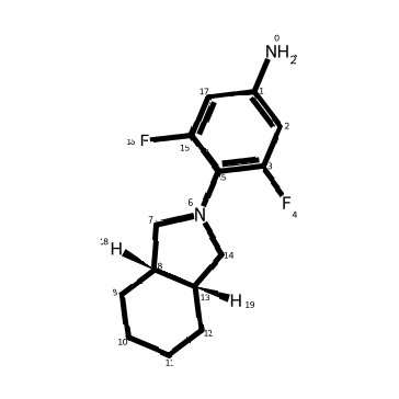 Nc1cc(F)c(N2C[C@H]3CCCC[C@H]3C2)c(F)c1